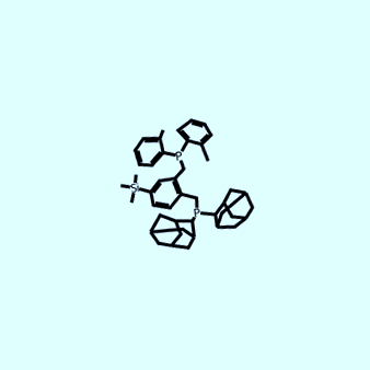 Cc1ccccc1P(Cc1cc([Si](C)(C)C)ccc1CP(C1C2CC3CC(C2)CC1C3)C1C2CC3CC(C2)CC1C3)c1ccccc1C